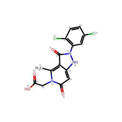 Cc1c2c(=O)n(-c3cc(Cl)ccc3Cl)[nH]c2cc(=O)n1CC(=O)O